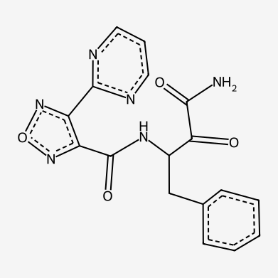 NC(=O)C(=O)C(Cc1ccccc1)NC(=O)c1nonc1-c1ncccn1